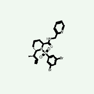 C=C[C@@H](C)[C@@H]1CCCC(C(=O)NCc2ccccn2)N1S(=O)(=O)c1cc(Br)cc(Br)c1